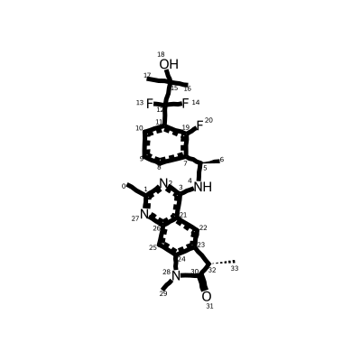 Cc1nc(N[C@H](C)c2cccc(C(F)(F)C(C)(C)O)c2F)c2cc3c(cc2n1)N(C)C(=O)[C@H]3C